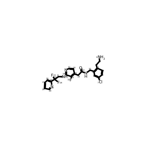 NCCc1ccc(Cl)cc1CNC(=O)Cc1ccnc(NCC(F)(F)c2ccccn2)c1F